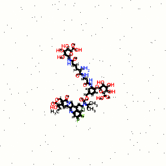 CC[C@@]1(O)C(=O)OCc2c1cc1n(c2=O)Cc2c-1nc1cc(F)c(F)c(Cl)c1c2CCN(C(=O)OCc1ccc(O[C@@H]2O[C@H](C(=O)O)[C@@H](O)[C@H](O)[C@H]2O)c(NC(=O)CCNC(=O)[C@@H](N)CCCC(=O)N[C@@H]2O[C@H](C(=O)O)[C@@H](O)[C@H](O)[C@H]2O)c1)C(C)C